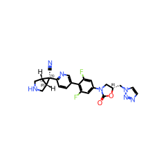 N#C[C@]1(c2ccc(-c3c(F)cc(N4C[C@H](Cn5ccnn5)OC4=O)cc3F)cn2)[C@@H]2CNC[C@@H]21